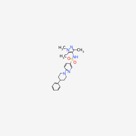 Cc1nn(C)c(C)c1NS(=O)(=O)c1ccc(N2CCC(c3ccccc3)CC2)nc1